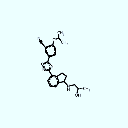 CC(C)Oc1ccc(-c2nc(-c3cccc4c3CCC4NC[C@H](C)O)no2)cc1C#N